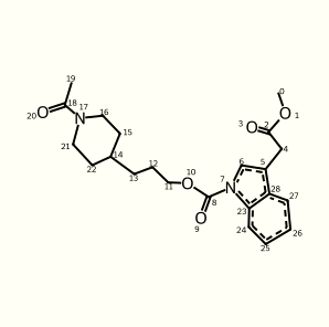 COC(=O)Cc1cn(C(=O)OCCCC2CCN(C(C)=O)CC2)c2ccccc12